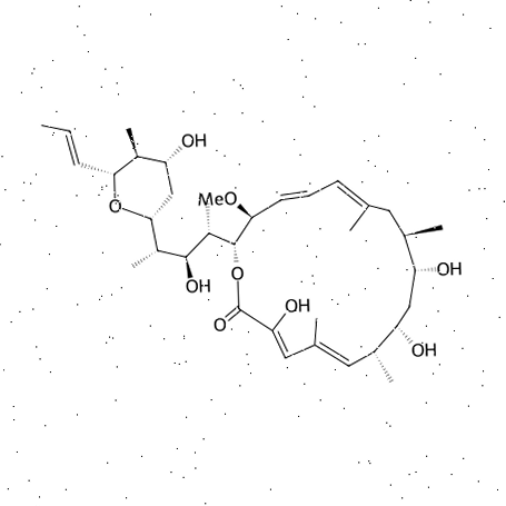 C/C=C/[C@H]1O[C@@H]([C@@H](C)[C@H](O)[C@H](C)[C@H]2OC(=O)/C(O)=C/C(C)=C/[C@@H](C)[C@@H](O)C[C@@H](O)[C@H](C)C/C(C)=C/C=C/[C@@H]2OC)C[C@@H](O)[C@@H]1C